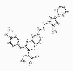 CCC(C(=O)O)N(Cc1ccc(OCCc2nc(-c3ccccc3)oc2C)cc1)C(=O)Oc1ccc(OC)cc1